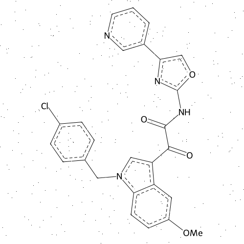 COc1ccc2c(c1)c(C(=O)C(=O)Nc1nc(-c3cccnc3)co1)cn2Cc1ccc(Cl)cc1